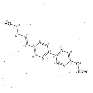 CCCCCCCCCCOc1cnc(-c2ccc(C=CCCO)cc2)nc1